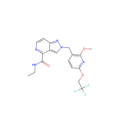 CCNC(=O)c1nccc2nn(Cc3ccc(OCC(F)(F)F)nc3OC)cc12